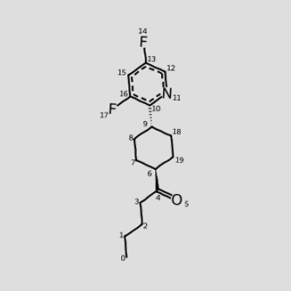 CCCCC(=O)[C@H]1CC[C@H](c2ncc(F)cc2F)CC1